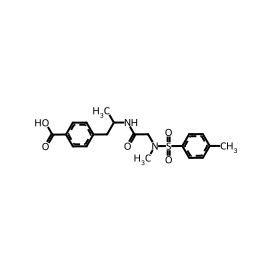 Cc1ccc(S(=O)(=O)N(C)CC(=O)NC(C)Cc2ccc(C(=O)O)cc2)cc1